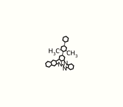 Cc1cc(-c2ccccc2)cc(C)c1-c1cc2c3cc4ccccc4cc3n3c2c(c1)n1c2ccccc2nc13